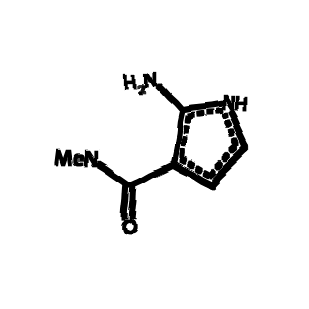 CNC(=O)c1cc[nH]c1N